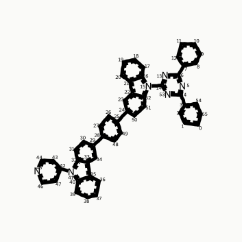 c1ccc(-c2nc(-c3ccccc3)nc(-n3c4ccccc4c4cc(-c5ccc(-c6ccc7c(c6)c6ccccc6n7-c6ccncc6)cc5)ccc43)n2)cc1